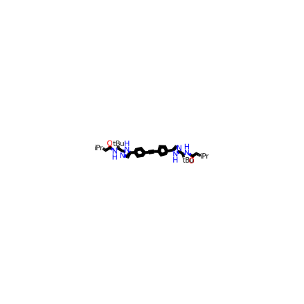 CC(C)CC(=O)NC(c1ncc(-c2ccc(C#Cc3ccc(-c4cnc(C(NC(=O)CC(C)C)C(C)(C)C)[nH]4)cc3)cc2)[nH]1)C(C)(C)C